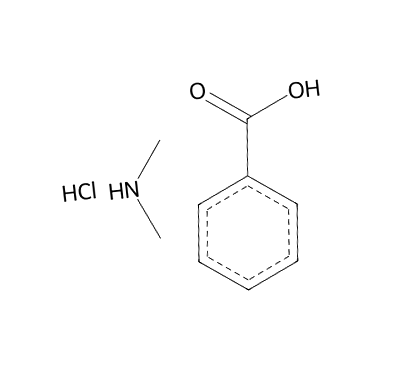 CNC.Cl.O=C(O)c1ccccc1